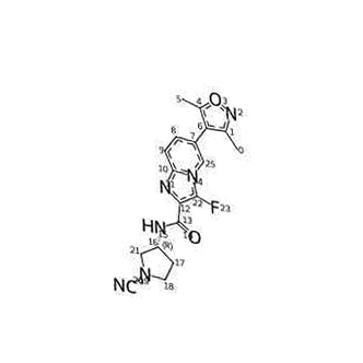 Cc1noc(C)c1-c1ccc2nc(C(=O)N[C@@H]3CCN(C#N)C3)c(F)n2c1